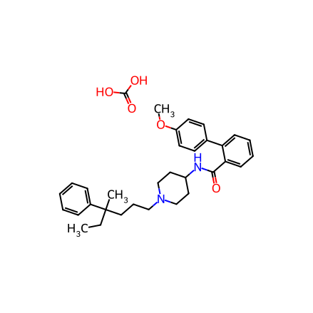 CCC(C)(CCCN1CCC(NC(=O)c2ccccc2-c2ccc(OC)cc2)CC1)c1ccccc1.O=C(O)O